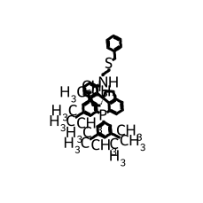 CC(C)(C)c1cc(P(c2cc(C(C)(C)C)cc(C(C)(C)C)c2)c2cccc3c2[C@]2(CCc4cccc(NCCSCc5ccccc5)c42)CC3)cc(C(C)(C)C)c1